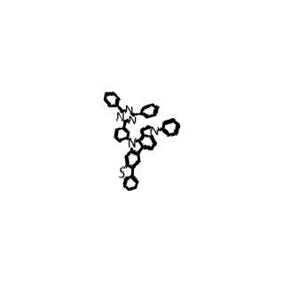 c1ccc(-c2nc(-c3ccccc3)nc(-c3cccc(-n4c5cc6sc7ccccc7c6cc5c5ccc6c(ccn6-c6ccccc6)c54)c3)n2)cc1